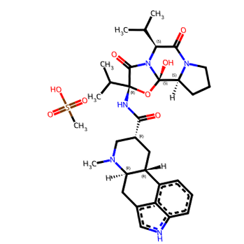 CC(C)[C@H]1C(=O)N2CCC[C@H]2[C@]2(O)O[C@](NC(=O)[C@@H]3C[C@@H]4c5cccc6[nH]cc(c56)C[C@H]4N(C)C3)(C(C)C)C(=O)N12.CS(=O)(=O)O